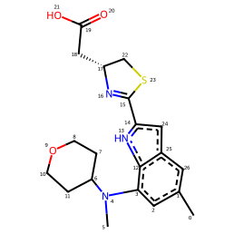 Cc1cc(N(C)C2CCOCC2)c2[nH]c(C3=N[C@H](CC(=O)O)CS3)cc2c1